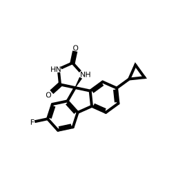 O=C1NC(=O)[C@@]2(N1)c1cc(F)ccc1-c1ccc(C3CC3)cc12